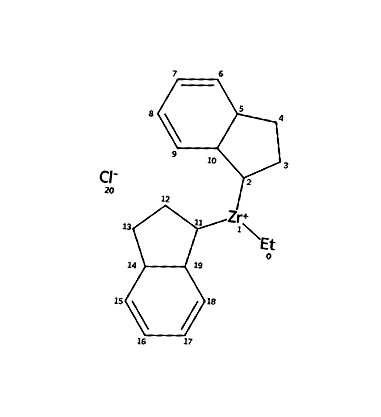 C[CH2][Zr+]([CH]1CCC2C=CC=CC21)[CH]1CCC2C=CC=CC21.[Cl-]